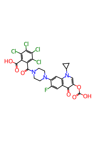 O=C(O)Oc1cn(C2CC2)c2cc(N3CCN(C(=O)c4c(Cl)c(Cl)c(Cl)c(Cl)c4C(=O)O)CC3)c(F)cc2c1=O